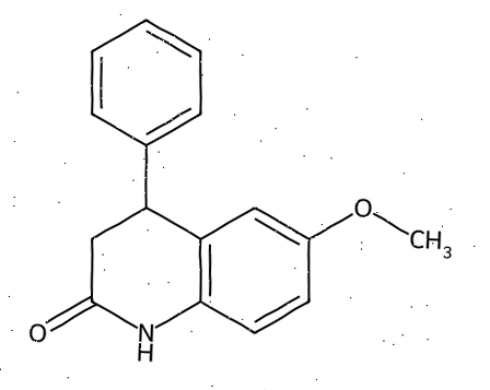 COc1ccc2c(c1)C(c1ccccc1)CC(=O)N2